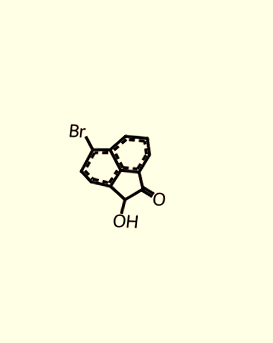 O=C1c2cccc3c(Br)ccc(c23)C1O